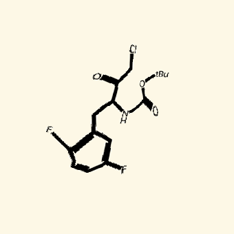 CC(C)(C)OC(=O)NC(Cc1cc(F)ccc1F)C(=O)CCl